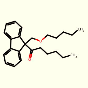 CCCCCOCC1(C(=O)CCCCC)c2ccccc2-c2ccccc21